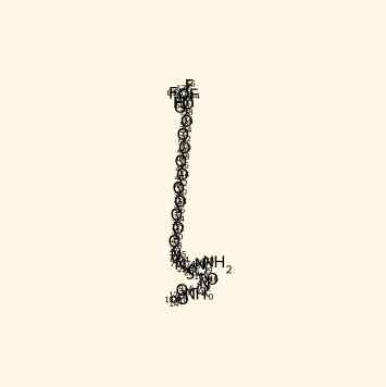 CCCN(CCCNC(=O)OC1CCC1)C(=O)C1=Cc2sc(CN3CCN(CCOCCOCCOCCOCCOCCOCCOCCOCCOCCOCCC(=O)Oc4c(F)c(F)cc(F)c4F)CC3)cc2N=C(N)C1